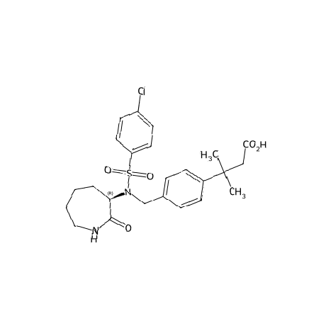 CC(C)(CC(=O)O)c1ccc(CN([C@@H]2CCCCNC2=O)S(=O)(=O)c2ccc(Cl)cc2)cc1